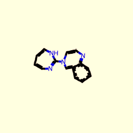 [C]1=CN(C2=NC=CC=CN2)C=c2ccccc2=N1